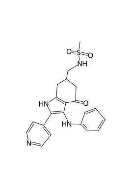 CS(=O)(=O)NCC1CC(=O)c2c([nH]c(-c3ccncc3)c2Nc2ccccc2)C1